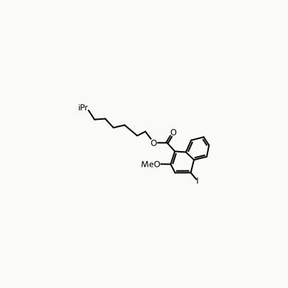 COc1cc(I)c2ccccc2c1C(=O)OCCCCCCC(C)C